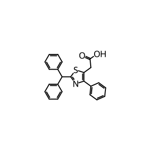 O=C(O)Cc1sc(C(c2ccccc2)c2ccccc2)nc1-c1ccccc1